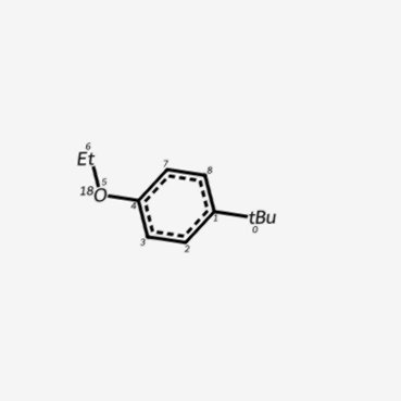 CC(C)(C)c1ccc([18O][13CH2][13CH3])cc1